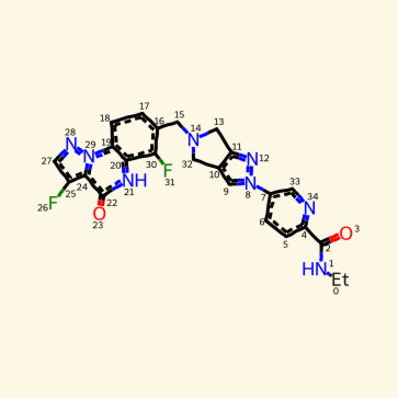 CCNC(=O)c1ccc(-n2cc3c(n2)CN(Cc2ccc4c([nH]c(=O)c5c(F)cnn54)c2F)C3)cn1